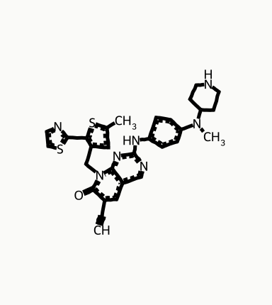 C#Cc1cc2cnc(Nc3ccc(N(C)C4CCNCC4)cc3)nc2n(Cc2cc(C)sc2-c2nccs2)c1=O